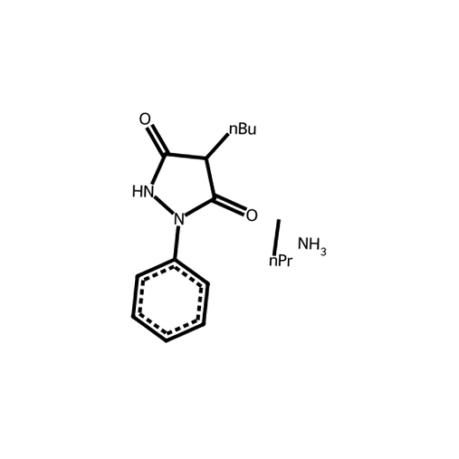 CCCC.CCCCC1C(=O)NN(c2ccccc2)C1=O.N